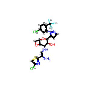 N/C(=C\N[C@H]1C(O)C(c2ccnn2-c2cc(Cl)ccc2C(F)(F)F)OC2COC21)c1nc(Cl)cs1